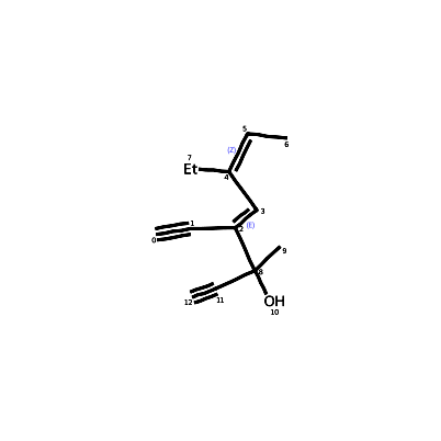 C#C/C(=C\C(=C/C)CC)C(C)(O)C#C